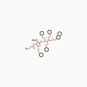 COC1C(OC(=O)CCC(C)=O)[C@@H](COCc2ccccc2)O[C@H]1OCC(OCc1ccccc1)C(OCc1ccccc1)C(COCc1ccc2ccccc2c1)OCc1ccccc1